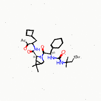 CC(=O)C(=O)C(CC1CCC1)NC(=O)[C@@H]1C2C(CN1C(=O)[C@@H](NC(=O)NC(C)(C)CC(C)(C)C)C1CCCCC1)C2(C)C